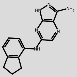 Nc1n[nH]c2nc(Nc3cccc4c3CCC4)cnc12